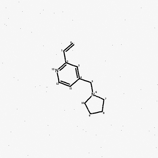 C=Cc1cc(CN2CCCC2)ccn1